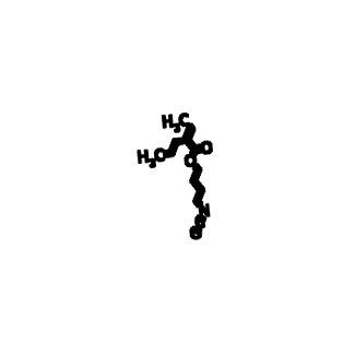 C/C=C(\CCC)C(=O)OCCCCN=C=O